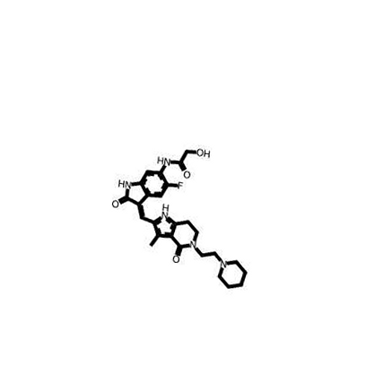 Cc1c(/C=C2/C(=O)Nc3cc(NC(=O)CO)c(F)cc32)[nH]c2c1C(=O)N(CCN1CCCCC1)CC2